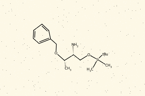 C[C@H](OCc1ccccc1)[C@H](N)CO[Si](C)(C)C(C)(C)C